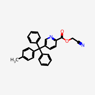 Cc1ccc(C(c2ccccc2)(c2ccccc2)c2ccc(C(=O)OCC#N)nc2)cc1